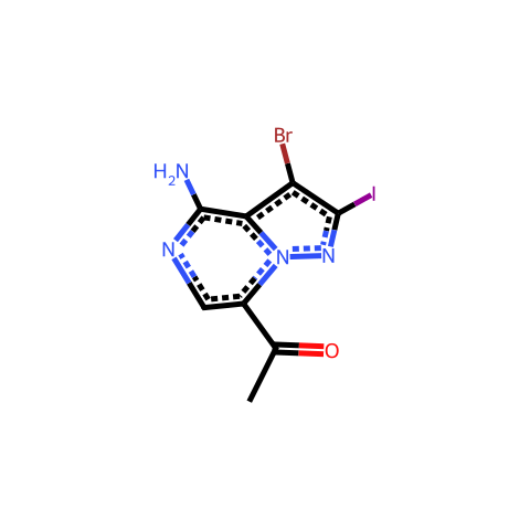 CC(=O)c1cnc(N)c2c(Br)c(I)nn12